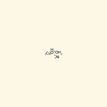 O.O.[Cu].[Ni]